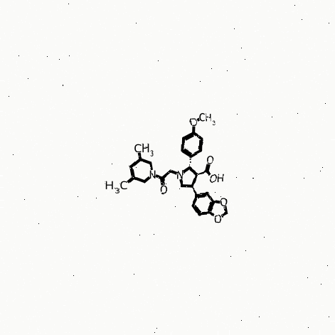 COc1ccc([C@@H]2[C@@H](C(=O)O)[C@@H](c3ccc4c(c3)OCO4)CN2CC(=O)N2CC(C)CC(C)C2)cc1